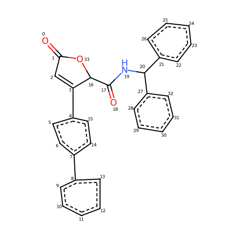 O=C1C=C(c2ccc(-c3ccccc3)cc2)C(C(=O)NC(c2ccccc2)c2ccccc2)O1